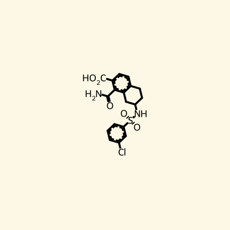 NC(=O)c1c(C(=O)O)ccc2c1CC(NS(=O)(=O)c1cccc(Cl)c1)CC2